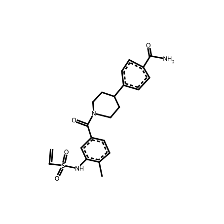 C=CS(=O)(=O)Nc1cc(C(=O)N2CCC(c3ccc(C(N)=O)cc3)CC2)ccc1C